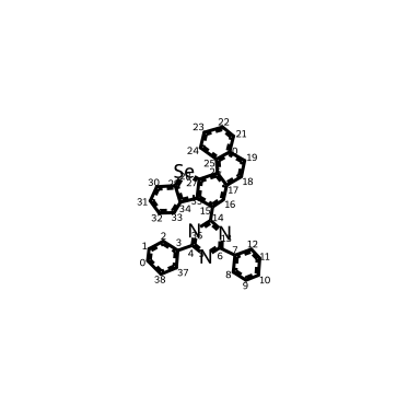 c1ccc(-c2nc(-c3ccccc3)nc(-c3cc4ccc5ccccc5c4c4[se]c5ccccc5c34)n2)cc1